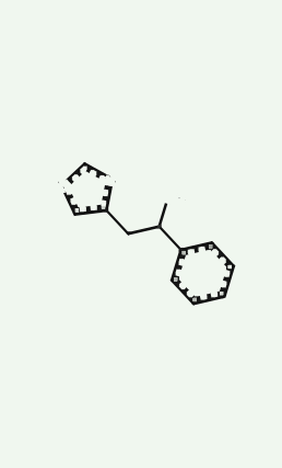 CC(C)(C)C(Cc1c[nH]cn1)c1ccccc1